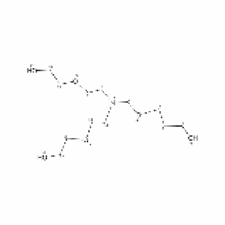 OCCCOCN(CCOCCO)CCOCCO